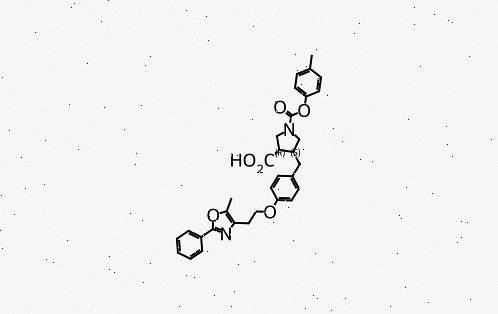 Cc1ccc(OC(=O)N2C[C@@H](Cc3ccc(OCCc4nc(-c5ccccc5)oc4C)cc3)[C@@H](C(=O)O)C2)cc1